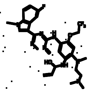 C=CC(O)Nc1cc(N/C(N=C)=N/C(=N\C)c2cn(C)c3ccc(F)cc23)c(OCC(F)(F)F)cc1N(C)CCN(C)C